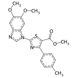 COC(=O)c1sc(-n2cnc3cc(OC)c(OC)cc32)nc1-c1ccc(C)cc1